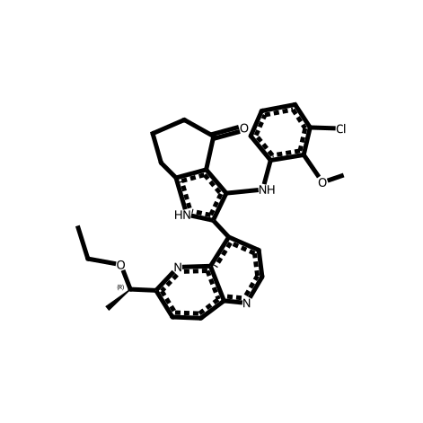 CCO[C@H](C)c1ccc2nccc(-c3[nH]c4c(c3Nc3cccc(Cl)c3OC)C(=O)CCC4)c2n1